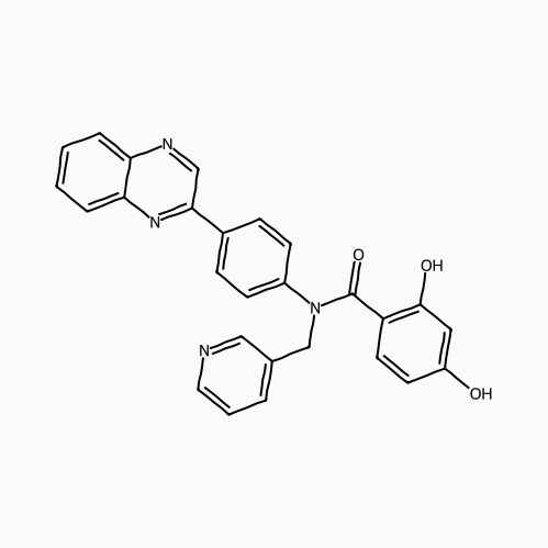 O=C(c1ccc(O)cc1O)N(Cc1cccnc1)c1ccc(-c2cnc3ccccc3n2)cc1